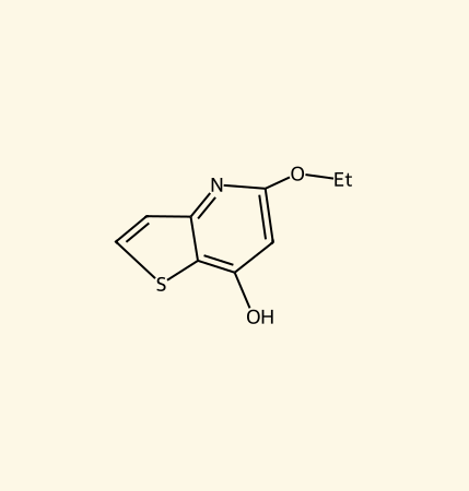 CCOc1cc(O)c2sccc2n1